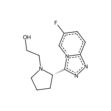 OCCN1CCC[C@H]1c1nnc2ccc(F)cn12